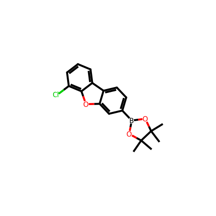 CC1(C)OB(c2ccc3c(c2)oc2c(Cl)cccc23)OC1(C)C